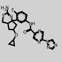 NC1=NC2(c3cc(NC(=O)c4cnc(-n5cncn5)cn4)ccc3F)CC(OC3CC3)CC2CS1